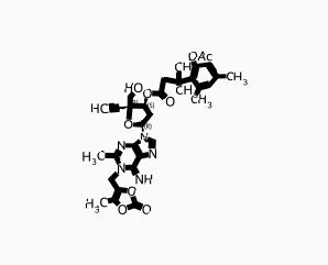 C#C[C@]1(CO)O[C@@H](n2cnc3c(=N)n(Cc4oc(=O)oc4C)c(C)nc32)C[C@@H]1OC(=O)CC(C)(C)c1c(C)cc(C)cc1OC(C)=O